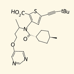 CC(CCOc1cncnc1)N(c1cc(C#CC(C)(C)C)sc1C(=O)O)C(=O)[C@H]1CC[C@H](C)CC1